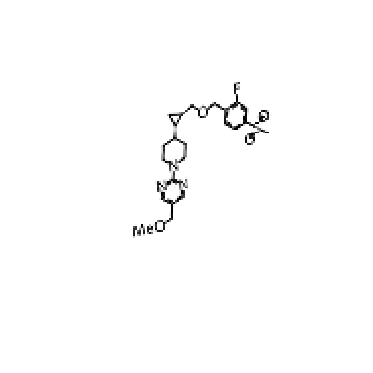 COCc1cnc(N2CCC([C@H]3C[C@H]3COCc3ccc(S(C)(=O)=O)cc3F)CC2)nc1